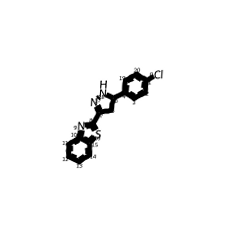 Clc1ccc(C2CC(c3nc4ccccc4s3)=NN2)cc1